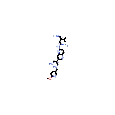 COc1ccc(CN/C=C(\C=N)c2cnc3ccc(N/C(N)=C/C(=C\N)C(C)C)nc3c2)cn1